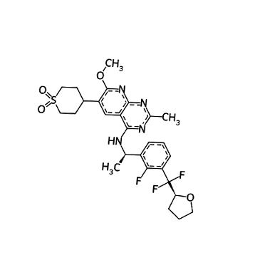 COc1nc2nc(C)nc(N[C@H](C)c3cccc(C(F)(F)[C@@H]4CCCO4)c3F)c2cc1C1CCS(=O)(=O)CC1